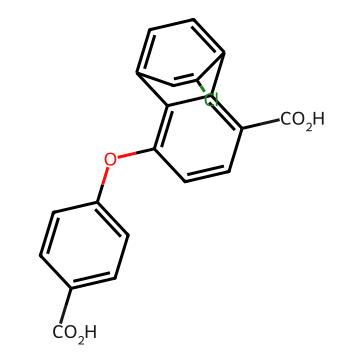 O=C(O)c1ccc(Oc2ccc(C(=O)O)c3c4ccc(cc4Cl)c23)cc1